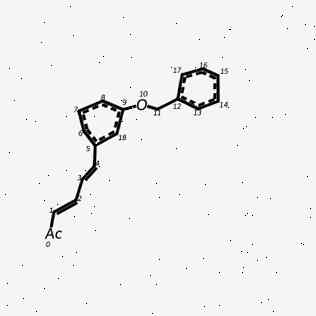 CC(=O)C=CC=Cc1cccc(OCc2ccccc2)c1